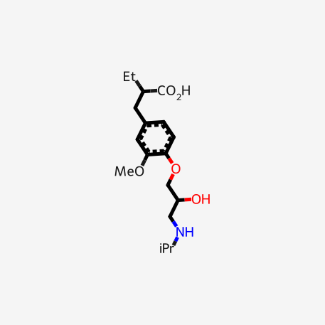 CCC(Cc1ccc(OCC(O)CNC(C)C)c(OC)c1)C(=O)O